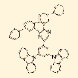 c1ccc(-c2ccc3c4ccc(-c5ccccc5)cc4c4nc(-c5cc(-n6c7ccccc7c7ccccc76)cc(-n6c7ccccc7c7ccccc76)c5)cnc4c3c2)cc1